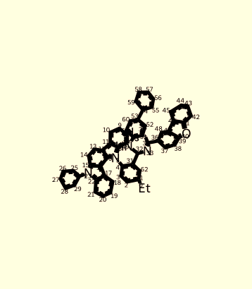 CCc1ccc(-n2c3ccccc3c3ccc4c(c5ccccc5n4-c4ccccc4)c32)c(C(/N=C(\C)c2ccc3oc4ccccc4c3c2)Nc2ccc(-c3ccccc3)cc2)c1